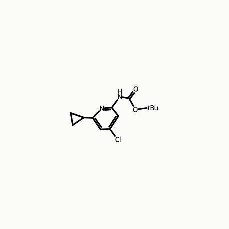 CC(C)(C)OC(=O)Nc1cc(Cl)cc(C2CC2)n1